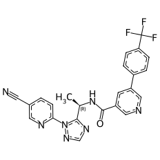 C[C@@H](NC(=O)c1cncc(-c2ccc(C(F)(F)F)cc2)c1)c1ncnn1-c1ccc(C#N)cn1